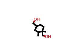 CC1CC(CO)CCC1(C)CO